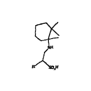 CCC(CNC1(C)CCCCC1(C)C)S(=O)(=O)O